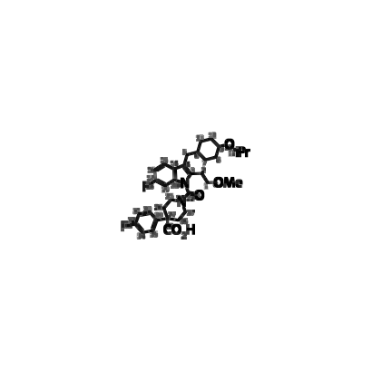 COCCc1c(CC2CCC(OC(C)C)CC2)c2ccc(F)cc2n1C(=O)N1CCC(C(=O)O)(c2ccc(F)cc2)CC1